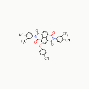 N#Cc1ccc(Oc2cc3c4c(ccc5c4c2C(=O)N(c2ccc(C#N)c(C(F)(F)F)c2)C5=O)C(=O)N(c2ccc(C#N)c(C(F)(F)F)c2)C3=O)cc1